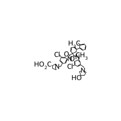 Cc1ccccc1C1=CC=CC(c2nc3cc(CN4CC[C@H](O)C4)cc(Cl)c3o2)(c2nc3cc(CN4CC[C@H](C(=O)O)C4)cc(Cl)c3o2)C1C